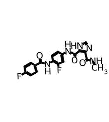 CNC(=O)c1nc[nH]c1C(=O)Nc1ccc(NC(=O)c2ccc(F)cc2)c(F)c1